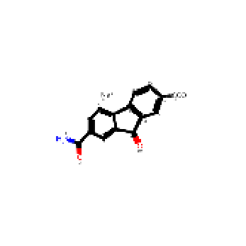 NC(=O)c1ccc2c(c1)C(=O)c1cc(C(=O)[O-])ccc1-2.[Na+]